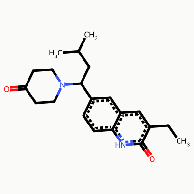 CCc1cc2cc(C(CC(C)C)N3CCC(=O)CC3)ccc2[nH]c1=O